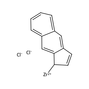 [Cl-].[Cl-].[Zr+2][CH]1C=Cc2cc3ccccc3cc21